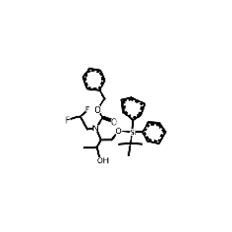 CC(O)C(CO[Si](c1ccccc1)(c1ccccc1)C(C)(C)C)N(CC(F)F)C(=O)OCc1ccccc1